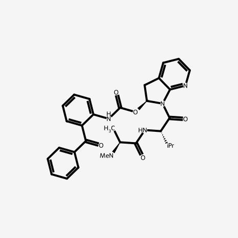 CN[C@@H](C)C(=O)N[C@H](C(=O)N1c2ncccc2C[C@@H]1OC(=O)Nc1ccccc1C(=O)c1ccccc1)C(C)C